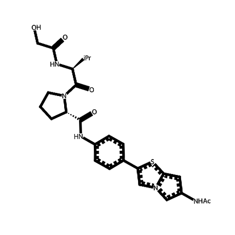 CC(=O)Nc1cc2sc(-c3ccc(NC(=O)[C@@H]4CCCN4C(=O)[C@@H](NC(=O)CO)C(C)C)cc3)cn2c1